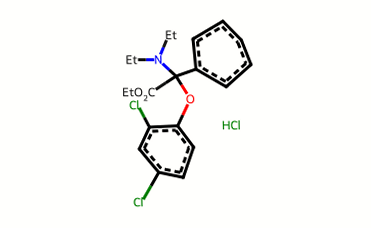 CCOC(=O)C(Oc1ccc(Cl)cc1Cl)(c1ccccc1)N(CC)CC.Cl